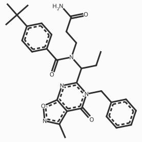 CCC(c1nc2onc(C)c2c(=O)n1Cc1ccccc1)N(CCC(N)=O)C(=O)c1ccc(C(C)(C)C)cc1